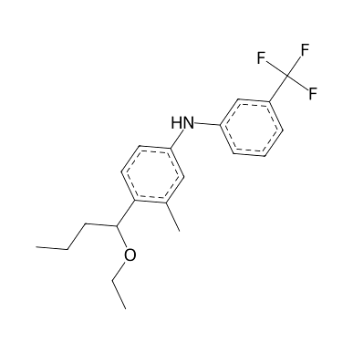 CCCC(OCC)c1ccc(Nc2cccc(C(F)(F)F)c2)cc1C